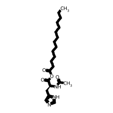 CCCCCCCCCCCCCC(=O)OC(=O)[C@H](Cc1cnc[nH]1)NC(C)=O